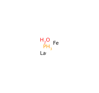 O.P.[Fe].[La]